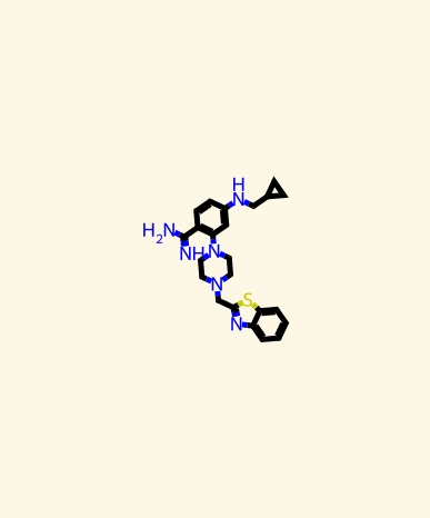 N=C(N)c1ccc(NCC2CC2)cc1N1CCN(Cc2nc3ccccc3s2)CC1